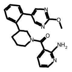 COc1ncc(-c2ccccc2C2CCCN(C(=O)c3cccnc3N)C2)cn1